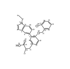 CCn1ccc2cc(-c3cc(CC(C)C(=O)O)ccc3OCc3ccccc3Cl)ccc21